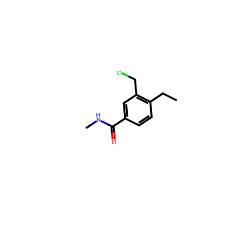 CCc1ccc(C(=O)NC)cc1CCl